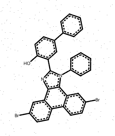 Oc1ccc(-c2ccccc2)cc1-c1nc2c3cc(Br)ccc3c3ccc(Br)cc3c2n1-c1ccccc1